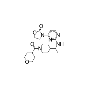 CC(Nc1nccc(N2CCOC2=O)n1)C1CCN(C(=O)C2CCOCC2)CC1